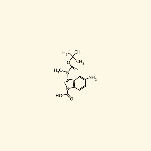 CN(C(=O)OC(C)(C)C)c1nn(C(=O)O)c2ccc(N)cc12